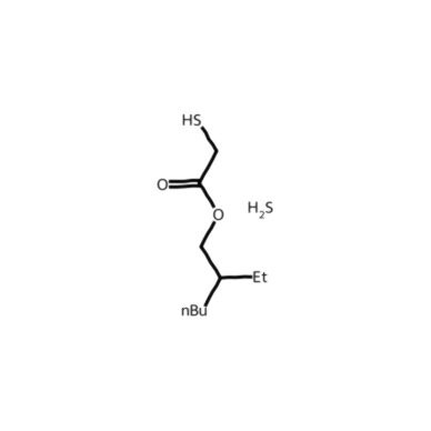 CCCCC(CC)COC(=O)CS.S